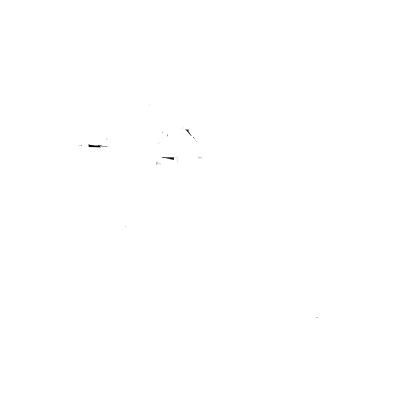 CC(C)(C)C(=O)Oc1ccc2c(c1)CO[C@@H](C(=O)N1C(=O)O[C@H]3Cc4ccccc4[C@H]31)C2